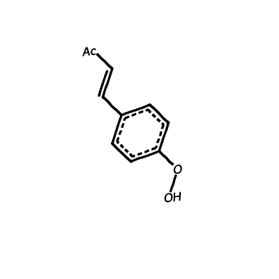 [CH2]C(=O)C=Cc1ccc(OO)cc1